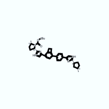 C[C@H]1CC[C@@H](c2nc(-c3ccc(-c4ccc(-c5c[nH]c([C@@H]6CC[C@H](C)N6C(=O)OC(C)(C)C)n5)c5c4CC5)cc3)c[nH]2)C1